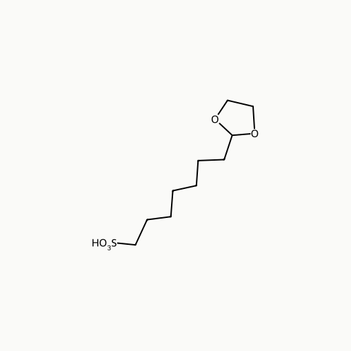 O=S(=O)(O)CCCCCCCC1OCCO1